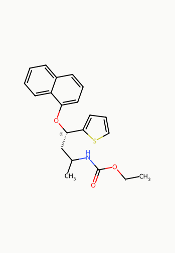 C[CH]OC(=O)NC(C)C[C@H](Oc1cccc2ccccc12)c1cccs1